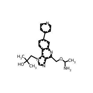 CC(N)OCc1nc2cc(-c3ccncc3)ccc2c2c1ncn2CC(C)(C)O